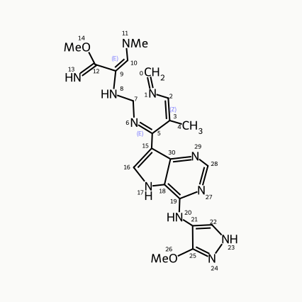 C=N/C=C(C)\C(=N/CN/C(=C/NC)C(=N)OC)c1c[nH]c2c(Nc3c[nH]nc3OC)ncnc12